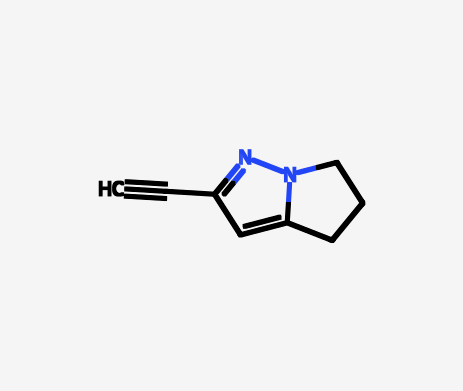 C#Cc1cc2n(n1)CCC2